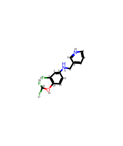 Fc1cc(NCc2cccnc2)ccc1OC(F)F